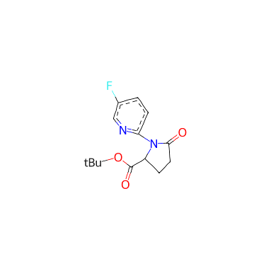 CC(C)(C)OC(=O)C1CCC(=O)N1c1ccc(F)cn1